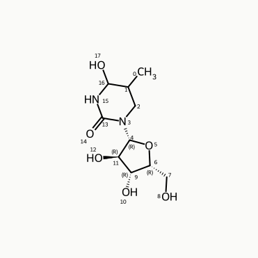 CC1CN([C@@H]2O[C@H](CO)[C@H](O)[C@H]2O)C(=O)NC1O